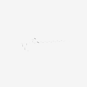 CCCCCCCCCCCCC/C=C/[C@H](OC)[C@H](CO[C@@H]1OC(CO)[C@@H](O)C(O)[C@@H]1O)NC(C)=O